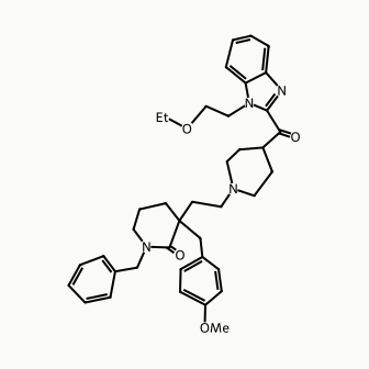 CCOCCn1c(C(=O)C2CCN(CCC3(Cc4ccc(OC)cc4)CCCN(Cc4ccccc4)C3=O)CC2)nc2ccccc21